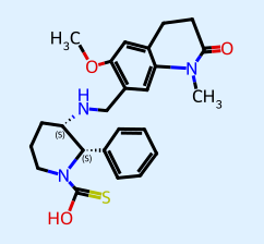 COc1cc2c(cc1CN[C@H]1CCCN(C(O)=S)[C@H]1c1ccccc1)N(C)C(=O)CC2